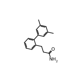 Cc1cc(C)cc(-c2ccccc2CCC(N)=O)c1